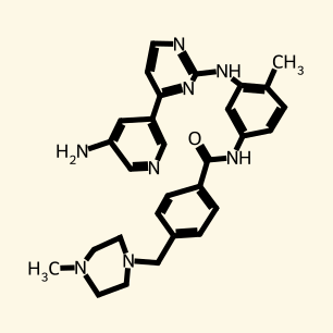 Cc1ccc(NC(=O)c2ccc(CN3CCN(C)CC3)cc2)cc1Nc1nccc(-c2cncc(N)c2)n1